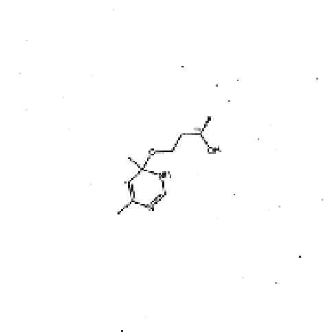 CC1=[C]C(C)(OCC[C@@H](C)O)NC=N1